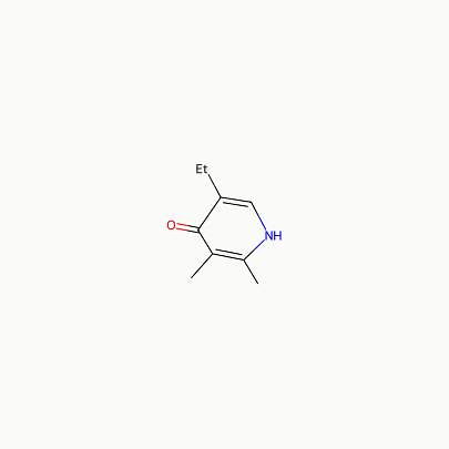 CCc1c[nH]c(C)c(C)c1=O